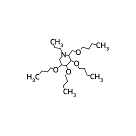 CCCCOCC1C(OCCCC)C(OCCCC)C(OCCCC)CN1CCC